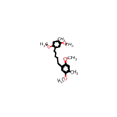 COc1cc(CCCCCc2cc(OC)c(C)cc2OC)c(OC)cc1C